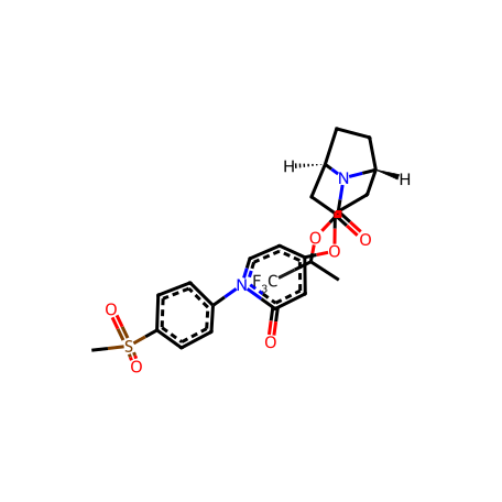 CC(OC(=O)N1[C@@H]2CC[C@@H]1CC(Oc1ccn(-c3ccc(S(C)(=O)=O)cc3)c(=O)c1)C2)C(F)(F)F